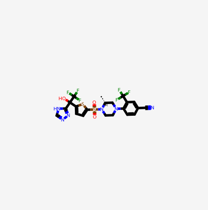 C[C@@H]1CN(c2ccc(C#N)cc2C(F)(F)F)CCN1S(=O)(=O)c1ccc(C(O)(c2nnc[nH]2)C(F)(F)F)s1